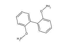 POc1ccccc1-c1ccccc1OP